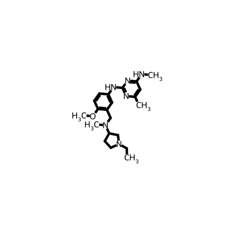 CCN1CCC(N(C)Cc2cc(Nc3nc(C)cc(NC)n3)ccc2OC)C1